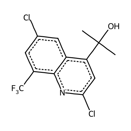 CC(C)(O)c1cc(Cl)nc2c(C(F)(F)F)cc(Cl)cc12